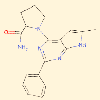 Cc1cc2c(N3CCCC3C(N)=O)nc(-c3ccccc3)nc2[nH]1